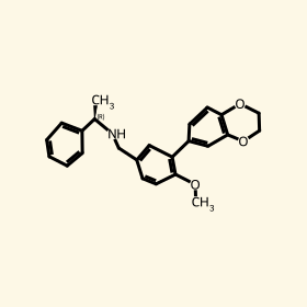 COc1ccc(CN[C@H](C)c2ccccc2)cc1-c1ccc2c(c1)OCCO2